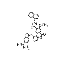 COc1cc(C(=O)O)c(-c2ccccc2CN2CCc3cc(C(=N)N)ccc32)cc1C(=O)NCc1cccc2ccccc12